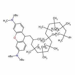 CCCCN(C)c1ccc2c(c1)Oc1cc(N(CCCC)CCCC)ccc1C2CC(CC(C)(C)CC(C)(C)CC(C)(C)CC(C)(C)CC(C)(C)CC(C)(C)CC(C)(C)CC(C)(C)C(C)C)C(=O)O